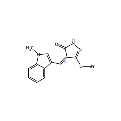 CC(C)OC1=NNC(=O)/C1=C\c1cn(C)c2ccccc12